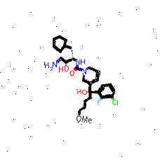 COCCCC[C@@](O)(c1cccc(Cl)c1F)C1CCCN(C(=O)N[C@@H](CC2CCCCC2)[C@H](O)CN)C1